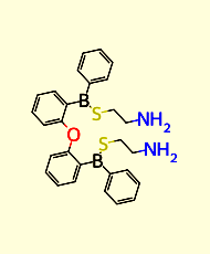 NCCSB(c1ccccc1)c1ccccc1Oc1ccccc1B(SCCN)c1ccccc1